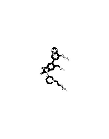 CCc1cc2c(cc1-c1cc(OC)c3ncnn3c1)[nH]c(=O)n2[C@@H]1CCCN(CCOC)C1